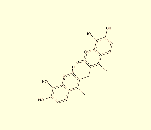 Cc1c(Cc2c(C)c3ccc(O)c(O)c3oc2=O)c(=O)oc2c(O)c(O)ccc12